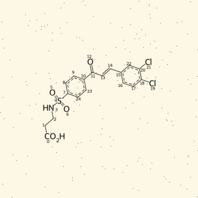 O=C(O)CCNS(=O)(=O)c1ccc(C(=O)/C=C/c2ccc(Cl)c(Cl)c2)cc1